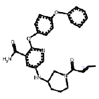 C/C=C/C(=O)N1CCCC(Nc2cnc(Oc3ccc(Oc4ccccc4)cc3)c(C(N)=O)c2)C1